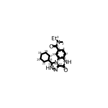 CCN(C)C(=O)c1ccc2c(c1)N1C(=NNC1C1CCCCC1)C(=O)N2